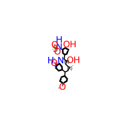 COc1ccc(C(C[C@@H](C)C[C@@H](O)C(N)c2ccc(O)c(NS(C)(=O)=O)c2)c2ccc(OC)cc2)cc1